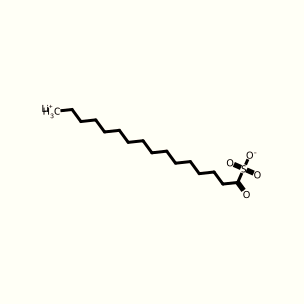 CCCCCCCCCCCCCCCC(=O)S(=O)(=O)[O-].[Li+]